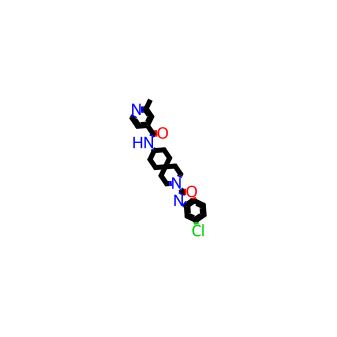 Cc1cc(C(=O)NC2CCC3(CC2)CCN(c2nc4cc(Cl)ccc4o2)CC3)ccn1